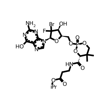 CC(C)OC(=O)CCNC(=O)[C@@H]1OP(=O)(OC[C@H]2O[C@@H](n3cnc4c(O)nc(N)nc43)C(F)(Br)[C@H]2O)OCC1(C)C